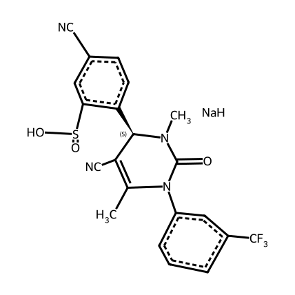 CC1=C(C#N)[C@@H](c2ccc(C#N)cc2S(=O)O)N(C)C(=O)N1c1cccc(C(F)(F)F)c1.[NaH]